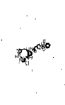 O=C(CC1CCN(S(=O)(=O)c2ccccc2F)CC1)Nc1ccc2cc1CCC1C=NC=C(C1)Nc1ncc(Cl)c(n1)N2